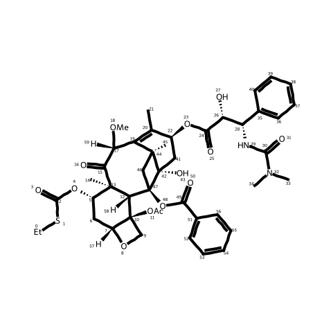 CCSC(=O)O[C@H]1C[C@H]2OC[C@@]2(OC(C)=O)[C@@H]2[C@]1(C)C(=O)[C@H](OC)C1=C(C)[C@@H](OC(=O)[C@H](O)[C@@H](NC(=O)N(C)C)c3ccccc3)C[C@]3(O)[C@@]1(C)C[C@@]23OC(=O)c1ccccc1